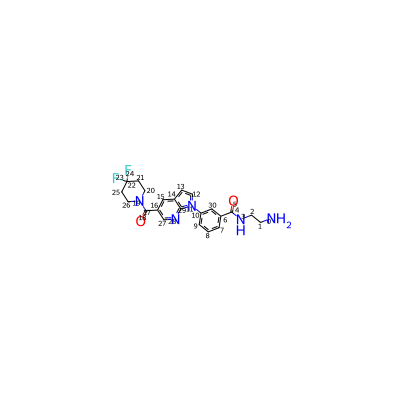 NCCNC(=O)c1cccc(-n2ccc3cc(C(=O)N4CCC(F)(F)CC4)cnc32)c1